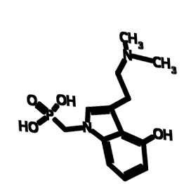 CN(C)CCc1cn(CP(=O)(O)O)c2cccc(O)c12